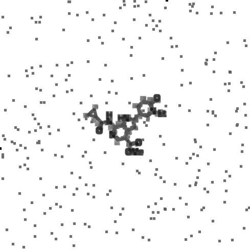 CCn1cc(-c2cc3c(C(=O)OC)cnc(NC(=O)C4CC4)c3[nH]2)ccc1=O